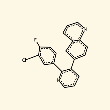 Fc1ccc(-c2ncccc2-c2ccc3ncccc3c2)cc1Cl